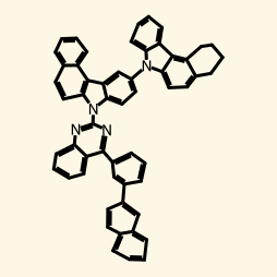 c1cc(-c2ccc3ccccc3c2)cc(-c2nc(-n3c4ccc(-n5c6ccccc6c6c7c(ccc65)CCCC7)cc4c4c5ccccc5ccc43)nc3ccccc23)c1